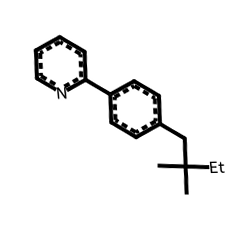 CCC(C)(C)Cc1ccc(-c2ccccn2)cc1